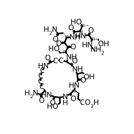 C[C@@H](O)[C@H](NC(=O)[C@H](CO)NN)C(=O)N[C@@H](CC(N)=O)C(=O)C(=O)[C@H](CO)NC1CCC(=O)NCCCCC(C(N)=O)NC(=O)C(CO)NC(=O)[C@H](CCC(=O)O)NC(=O)C(CO)NC1=O